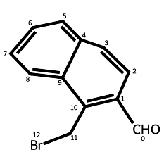 O=Cc1ccc2ccccc2c1CBr